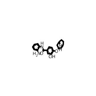 Cl.Nc1ccccc1NC(=O)c1ccc(OC2CC3CCC(C2)N3)cc1